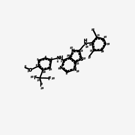 COc1ccc(Nc2ncnc3sc(Nc4c(C)cccc4C)nc23)cc1C(F)(F)F